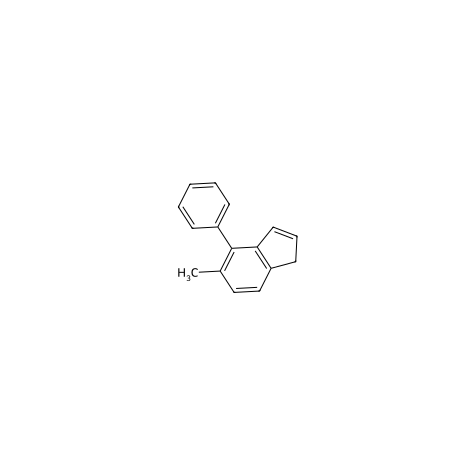 Cc1ccc2c(c1-c1ccccc1)C=CC2